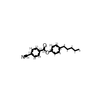 CCCCCc1ccc(OC(=O)c2ccc(C#N)cc2)cc1